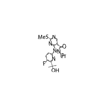 CSc1ncc2c(=O)n(C(C)C)n(-c3ccc(F)c(C(C)(C)O)n3)c2n1